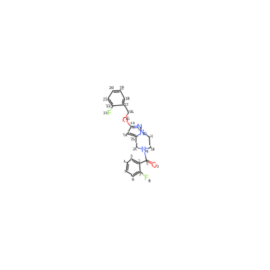 O=C(c1ccccc1F)N1CCn2nc(OCc3ccccc3F)cc2C1